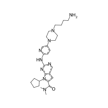 CN(C)C(=O)c1cc2cnc(Nc3ccc(N4CCN(CCCCN)CC4)cn3)nc2n1C1CCCC1